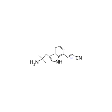 CC(C)(N)Cc1c[nH]c2c(/C=C/C#N)cccc12